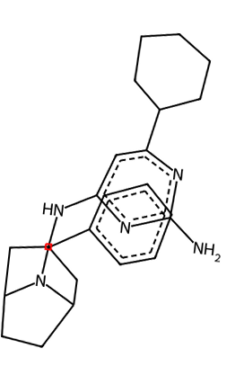 Nc1nc(NC2CC3CCC(C2)N3Cc2ccccc2)cc(C2CCCCC2)n1